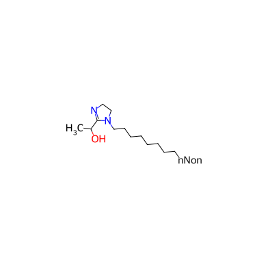 CCCCCCCCCCCCCCCCCN1CCN=C1C(C)O